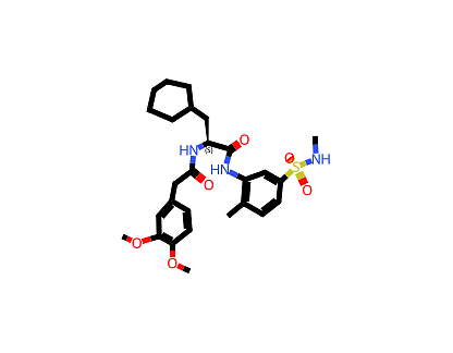 CNS(=O)(=O)c1ccc(C)c(NC(=O)[C@H](CC2CCCCC2)NC(=O)Cc2ccc(OC)c(OC)c2)c1